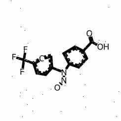 O=NN(c1ccc(C(=O)O)cc1)c1ccc(C(F)(F)F)cc1